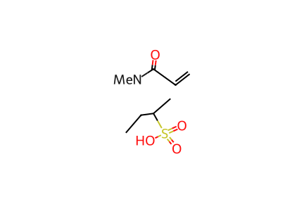 C=CC(=O)NC.CCC(C)S(=O)(=O)O